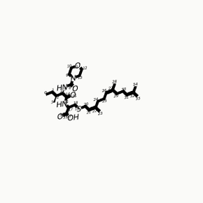 CC[C@H](C)[C@H](NC(=O)N1CCOCC1)C(=O)NC(CSCC=C(C)CCC=C(C)CCC=C(C)C)C(=O)O